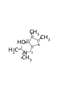 C=CN(C)CC1CC(C)C(C)C1O